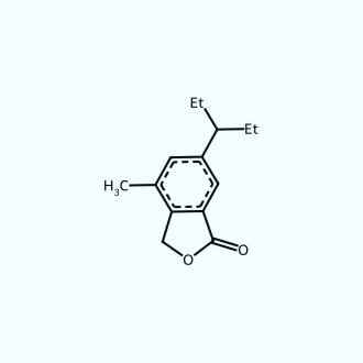 CCC(CC)c1cc(C)c2c(c1)C(=O)OC2